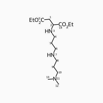 CCOC(=O)CC(NCCCNCCCN(C)C)C(=O)OCC